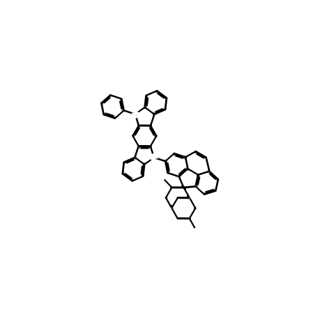 CC1CC2CC(C)C3(c4cccc5ccc6cc(-n7c8ccccc8c8cc9c(cc87)c7ccccc7n9-c7ccccc7)cc3c6c45)C(C1)C2